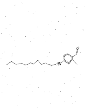 CCCCCCCCCCCCNc1ccc(C=O)c(C)c1